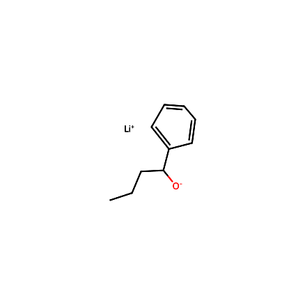 CCCC([O-])c1ccccc1.[Li+]